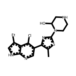 CCc1c[nH]c2ncc(-c3nc(N4CCNCC4O)sc3C)c(Cl)c12